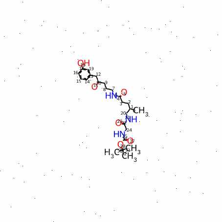 CC(CCC(=O)NCCCC(=O)Cc1cccc(O)c1)CNC(=O)CNC(=O)OC(C)(C)C